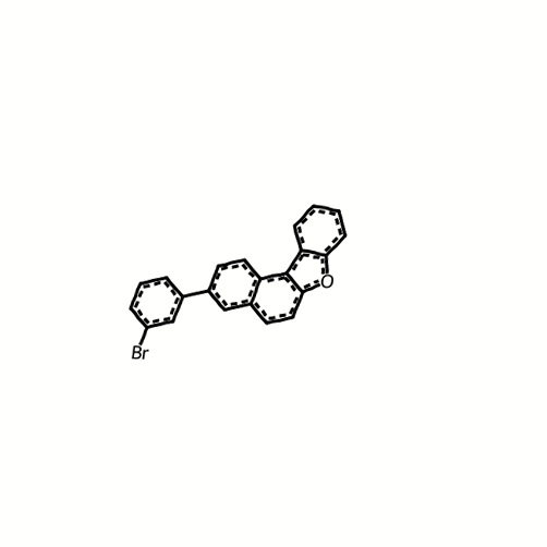 Brc1cccc(-c2ccc3c(ccc4oc5ccccc5c43)c2)c1